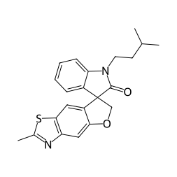 Cc1nc2cc3c(cc2s1)C1(CO3)C(=O)N(CCC(C)C)c2ccccc21